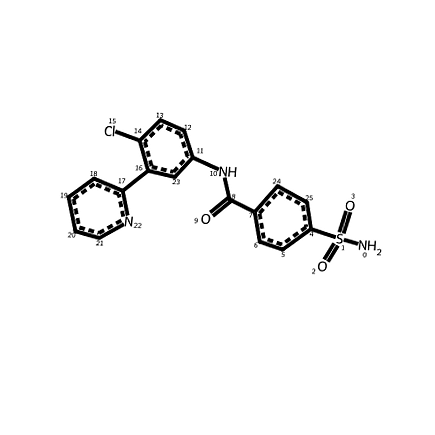 NS(=O)(=O)c1ccc(C(=O)Nc2ccc(Cl)c(-c3ccccn3)c2)cc1